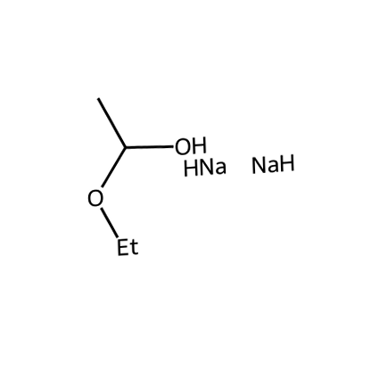 CCOC(C)O.[NaH].[NaH]